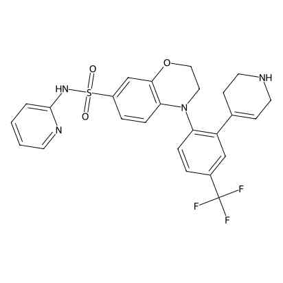 O=S(=O)(Nc1ccccn1)c1ccc2c(c1)OCCN2c1ccc(C(F)(F)F)cc1C1=CCNCC1